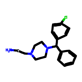 NCCN1CCN(C(c2ccccc2)c2ccc(Cl)cc2)CC1